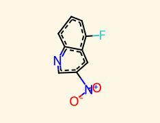 O=[N+]([O-])c1cnc2cccc(F)c2c1